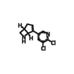 Clc1cc(C2=CC[C@H]3CN[C@@H]23)cnc1Cl